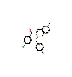 Cc1ccc(CSC(=Cc2cc(C)ccc2C)C(=O)c2ccc(Cl)cc2)cc1